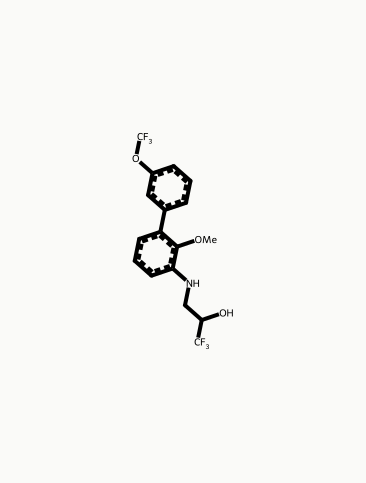 COc1c(NCC(O)C(F)(F)F)cccc1-c1cccc(OC(F)(F)F)c1